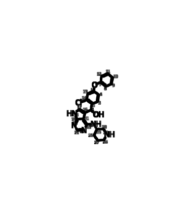 OC(c1ccc(Oc2ccccc2)cc1Cl)c1c[nH]c2ncnc(N[C@@H]3CCCNC3)c12